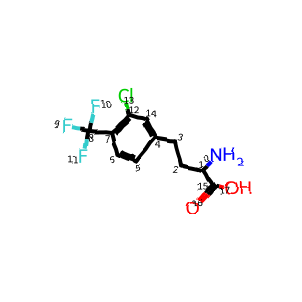 NC(CCc1ccc(C(F)(F)F)c(Cl)c1)C(=O)O